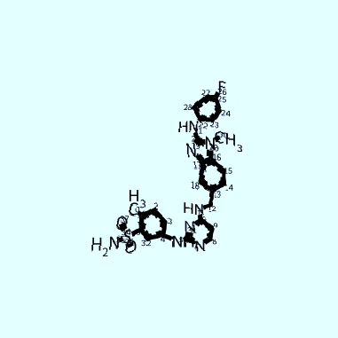 Cc1ccc(Nc2nccc(NCc3ccc4c(c3)nc(Nc3ccc(F)cc3)n4C)n2)cc1S(N)(=O)=O